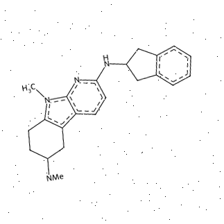 CNC1CCc2c(c3ccc(NC4Cc5ccccc5C4)nc3n2C)C1